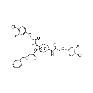 O=C(COc1ccc(Cl)c(F)c1)NC12CCC(NC(=O)COc3ccc(Cl)c(F)c3)(CC1)[C@@H](OC(=O)COCc1ccccc1)C2